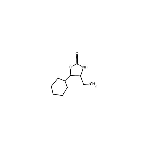 CCC1NC(=O)OC1C1CCCCC1